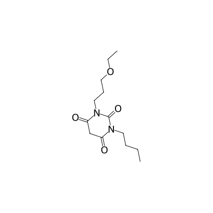 CCCCN1C(=O)CC(=O)N(CCCOCC)C1=O